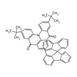 CC(C)(C)c1ccc2c(c1)c(=O)c1cc(-c3cccc4c3C3(c5ccccc5-c5ccccc53)c3ccccc3-4)cc3c(=O)c4cc(C(C)(C)C)ccc4n2c13